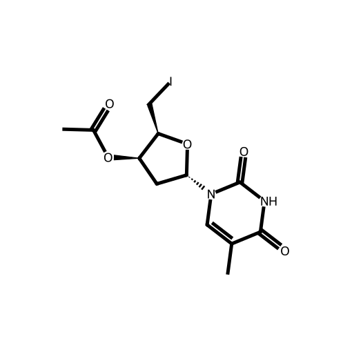 CC(=O)O[C@@H]1C[C@@H](n2cc(C)c(=O)[nH]c2=O)O[C@@H]1CI